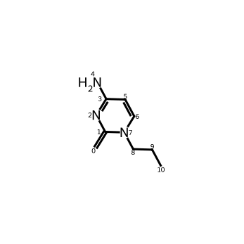 C=C1N=C(N)C=CN1CCC